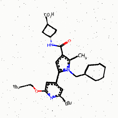 Cc1c(C(=O)N[C@H]2C[C@H](C(=O)O)C2)cc(-c2cc(OCC(C)(C)C)nc(C(C)(C)C)c2)n1CC1CCCCC1